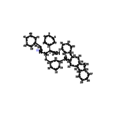 N=C(c1ccccc1)N(Cc1cccc(-n2c3ccccc3c3cc4sc5ccccc5c4cc32)c1)/N=C/c1ccccc1